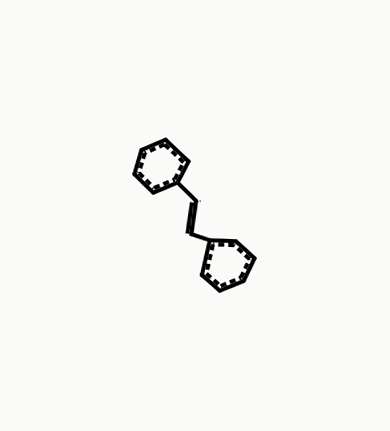 [C](=Cc1ccccc1)c1ccccc1